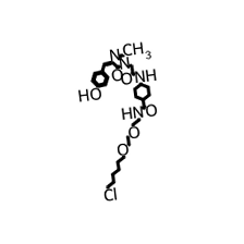 CC1=N/C(=C/c2ccc(O)cc2)C(=O)N1CC(=O)NC1CCC(C(=O)NCCOCCOCCCCCCCl)CC1